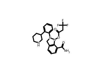 NC(=O)c1cccc2c1N(OC(=O)CC(F)(F)F)N(c1ccccc1C1CCCNC1)C2